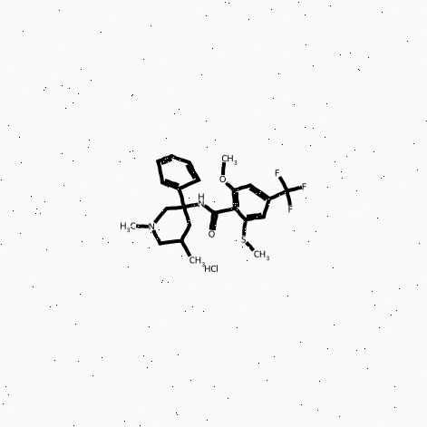 COc1cc(C(F)(F)F)cc(SC)c1C(=O)NC1(c2ccccc2)CC(C)CN(C)C1.Cl